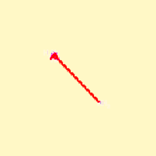 CCCCc1nc2c(N)nnc(OC(C)C)c2n1Cc1ccc(CNC(=O)CCOCCOCCOCCOCCOCCOCCOCCOCCOCCOCCOCCOCCOCCOCCOCCOCCOCCOCCOCCOCCN)cc1